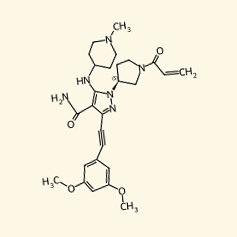 C=CC(=O)N1CC[C@H](n2nc(C#Cc3cc(OC)cc(OC)c3)c(C(N)=O)c2NC2CCN(C)CC2)C1